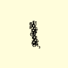 CCc1ccc(-c2ccc(C(=O)OC3CCC(c4ccc(C)c(F)c4F)CC3)c(F)c2F)c(F)c1F